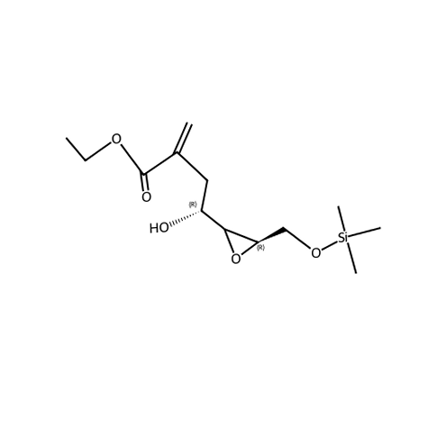 C=C(C[C@@H](O)C1O[C@@H]1CO[Si](C)(C)C)C(=O)OCC